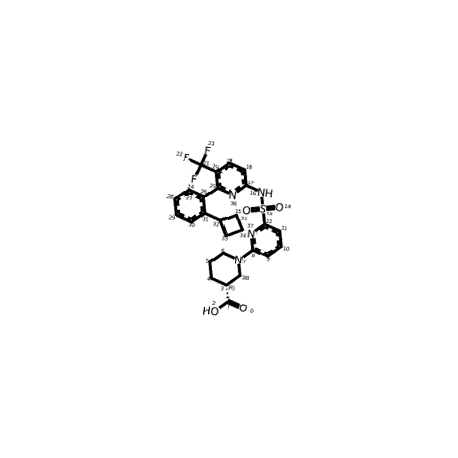 O=C(O)[C@@H]1CCCN(c2cccc(S(=O)(=O)Nc3ccc(C(F)(F)F)c(-c4ccccc4C4CCC4)n3)n2)C1